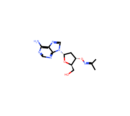 CC(C)=NO[C@H]1C[C@@H](n2cnc3c(N)ncnc32)O[C@@H]1CO